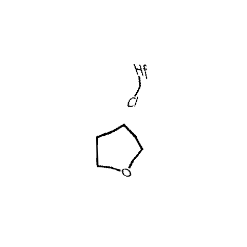 C1CCOC1.[Cl][Hf]